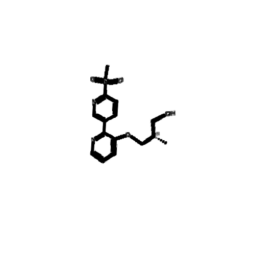 C[C@@H](CO)COc1cccnc1-c1ccc(S(C)(=O)=O)nc1